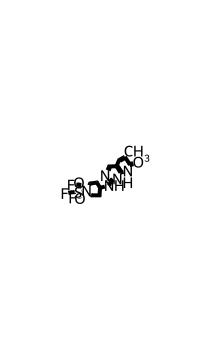 Cc1cc2cnc(NC3CCN(S(=O)(=O)C(F)(F)F)CC3)nc2[nH]c1=O